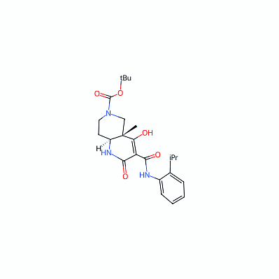 CC(C)c1ccccc1NC(=O)C1=C(O)[C@@]2(C)CN(C(=O)OC(C)(C)C)CC[C@@H]2NC1=O